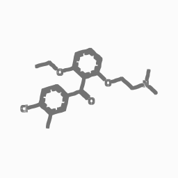 CCOc1cccc(OCCN(C)C)c1C(=O)c1ccc(Cl)c(C)c1